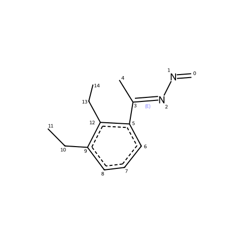 C=N/N=C(\C)c1cccc(CC)c1CC